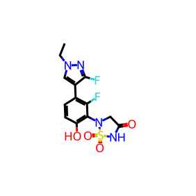 CCn1cc(-c2ccc(O)c(N3CC(=O)NS3(=O)=O)c2F)c(F)n1